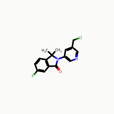 CC1(C)c2ccc(F)cc2C(=O)N1c1cncc(CCl)c1